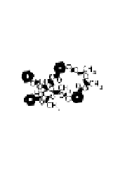 CC(COCC(C)OC(=O)c1ccccc1)OCOc1cccc(C(=O)OC(C)COC(C)COCOc2cccc(C(=O)OC(C)COC(C)COCOc3ccccc3)c2)c1